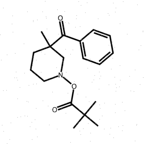 CC(C)(C)C(=O)ON1CCCC(C)(C(=O)c2ccccc2)C1